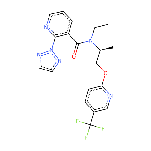 CCN(C(=O)c1cccnc1-n1nccn1)[C@@H](C)COc1ccc(C(F)(F)F)cn1